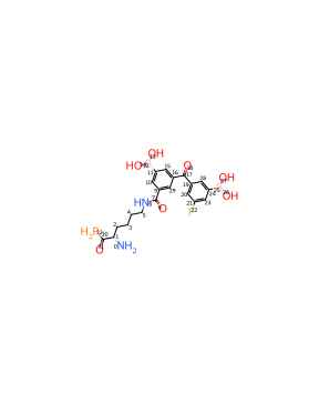 N[C@@H](CCCCNC(=O)c1cc(B(O)O)cc(C(=O)c2cc(F)cc(B(O)O)c2)c1)C(=O)P